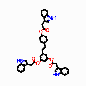 O=C(Cc1c[nH]c2ccccc12)Oc1ccc(/C=C/c2cc(OC(=O)Cc3c[nH]c4ccccc34)cc(OC(=O)Cc3c[nH]c4ccccc34)c2)cc1